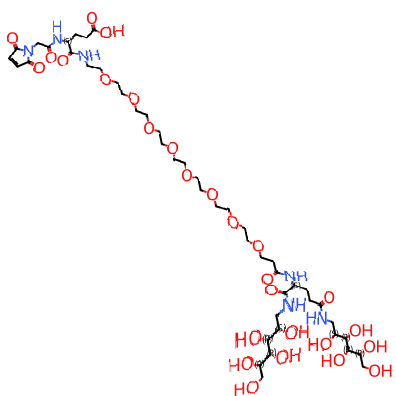 O=C(O)CC[C@H](NC(=O)CN1C(=O)C=CC1=O)C(=O)NCCOCCOCCOCCOCCOCCOCCOCCOCCC(=O)N[C@@H](CCC(=O)NC[C@H](O)[C@@H](O)[C@H](O)[C@H](O)CO)C(=O)NC[C@H](O)[C@@H](O)[C@H](O)[C@H](O)CO